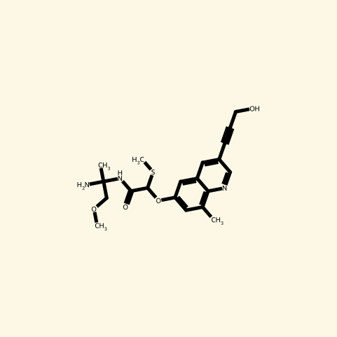 COCC(C)(N)NC(=O)C(Oc1cc(C)c2ncc(C#CCO)cc2c1)SC